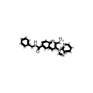 Cc1nc2ccc(C(=O)NCc3ccccc3)cc2cc1-n1cnc2cccnc21